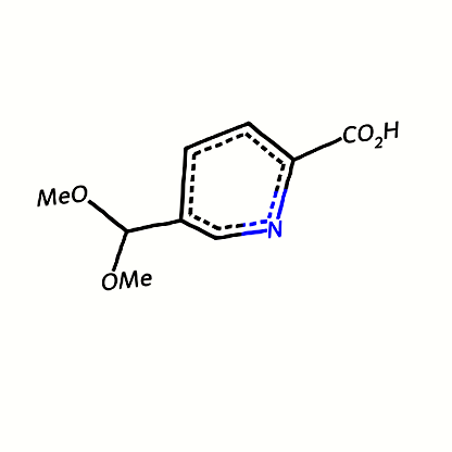 COC(OC)c1ccc(C(=O)O)nc1